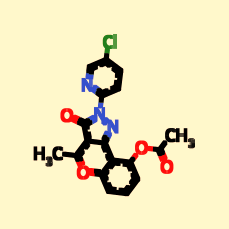 CC(=O)Oc1cccc2oc(C)c3c(=O)n(-c4ccc(Cl)cn4)nc-3c12